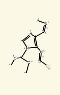 C/N=C\c1ncn(C(OC)OC)c1/N=C/Cl